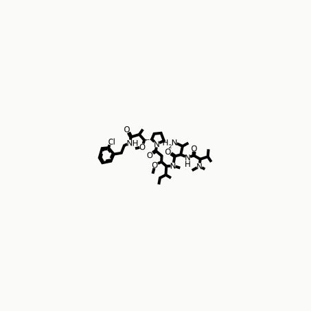 CCC(C)C(C(CC(=O)N1CCC[C@H]1C(OC)C(C)C(=O)NCCc1ccccc1Cl)OC)N(C)C(=O)C(NC(=O)C(C(C)C)N(C)C)C(C)N